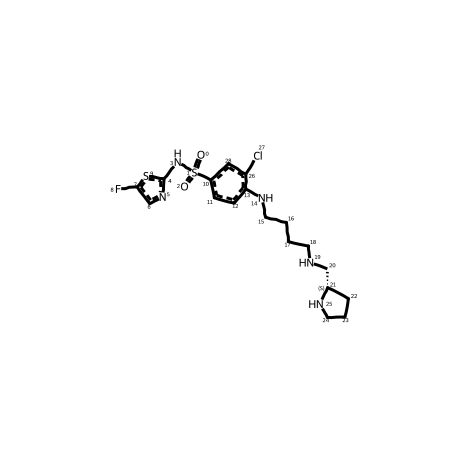 O=S(=O)(Nc1ncc(F)s1)c1ccc(NCCCCNC[C@@H]2CCCN2)c(Cl)c1